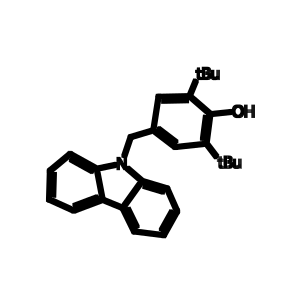 CC(C)(C)c1cc(Cn2c3ccccc3c3ccccc32)cc(C(C)(C)C)c1O